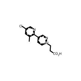 Cc1cc(Cl)cnc1-c1cc[n+](CCC(=O)O)nc1